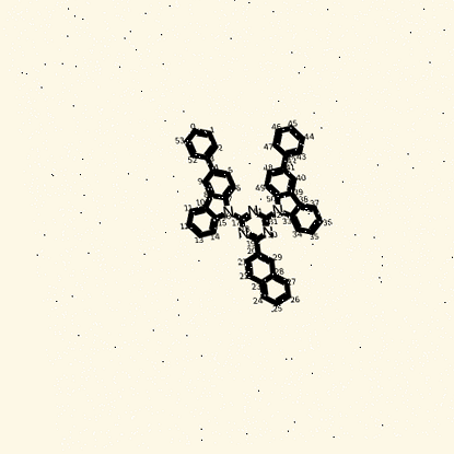 c1ccc(-c2ccc3c(c2)c2ccccc2n3-c2nc(-c3ccc4ccccc4c3)nc(-n3c4ccccc4c4cc(-c5ccccc5)ccc43)n2)cc1